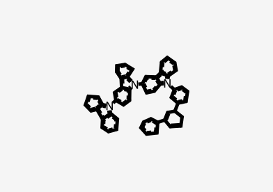 C1=CC(c2ccccc2)=CC(c2cccc(-n3c4ccccc4c4cc(-n5c6ccccc6c6cc(-n7c8ccccc8c8ccccc87)ccc65)ccc43)c2)C1